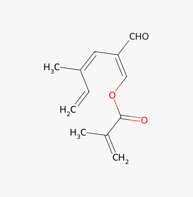 C=CC(C)=CC(C=O)=COC(=O)C(=C)C